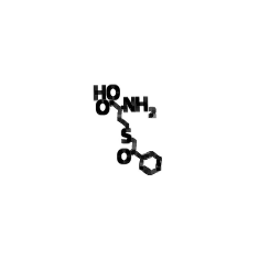 N[C@@H](CCSCC(=O)c1ccccc1)C(=O)O